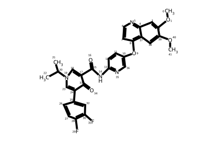 COc1cc2nccc(Oc3ccc(NC(=O)c4cn(C(C)C)cc(-c5ccc(F)c(F)c5)c4=O)nc3)c2cc1OC